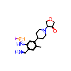 Cc1cc(C=N)c(NPI)cc1C1CCN(C2COCC2=O)CC1